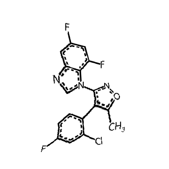 Cc1onc(-n2cnc3cc(F)cc(F)c32)c1-c1ccc(F)cc1Cl